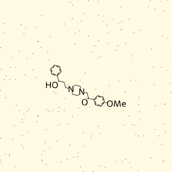 COc1ccc(C(=O)CN2CCN(CCC(O)c3ccccc3)CC2)cc1